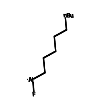 CCCCCCCC[CH2][Al][F]